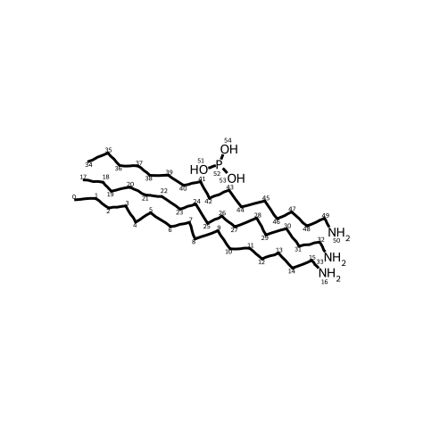 CCCCCCCCCCCCCCCCN.CCCCCCCCCCCCCCCCN.CCCCCCCCCCCCCCCCN.OP(O)O